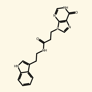 O=C(CCn1cnc2c(=O)[nH]cnc21)NCCc1c[nH]c2ccccc12